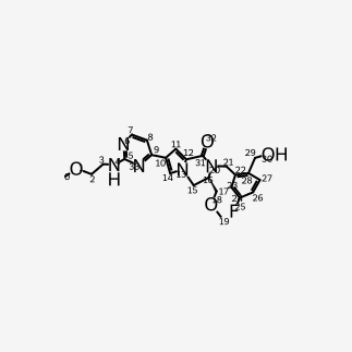 COCCNc1nccc(-c2cc3n(c2)C[C@H](COC)N(Cc2cc(F)ccc2CO)C3=O)n1